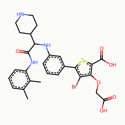 Cc1cccc(NC(=O)C(Nc2cccc(-c3sc(C(=O)O)c(OCC(=O)O)c3Br)c2)C2CCNCC2)c1C